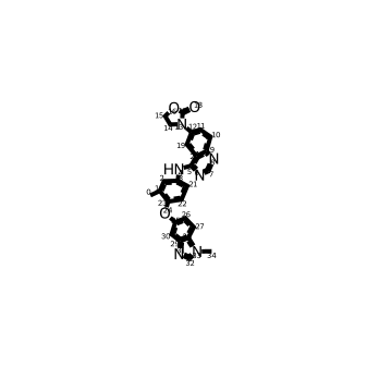 Cc1cc(Nc2ncnc3ccc(N4CCOC4=O)cc23)ccc1Oc1ccc2c(c1)ncn2C